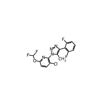 Cc1c(-c2c(F)cccc2F)nnn1-c1nc(OC(F)F)ccc1Cl